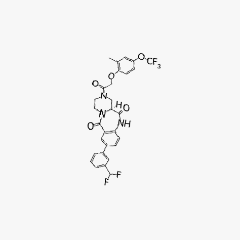 Cc1cc(OC(F)(F)F)ccc1OCC(=O)N1CCN2C(=O)c3cc(-c4cccc(C(F)F)c4)ccc3NC(=O)[C@@H]2C1